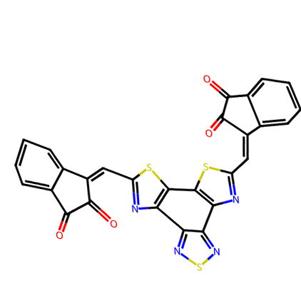 O=C1C(=O)c2ccccc2/C1=C/c1nc2c3nsnc3c3nc(/C=C4\C(=O)C(=O)c5ccccc54)sc3c2s1